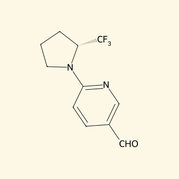 O=Cc1ccc(N2CCC[C@@H]2C(F)(F)F)nc1